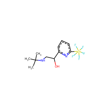 CC(C)(C)NCC(O)c1cccc(S(F)(F)(F)(F)F)n1